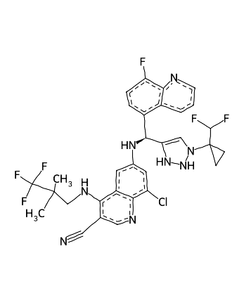 CC(C)(CNc1c(C#N)cnc2c(Cl)cc(N[C@H](C3=CN(C4(C(F)F)CC4)NN3)c3ccc(F)c4ncccc34)cc12)C(F)(F)F